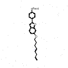 C=CC/C=C/CCCOc1ccc2cc(-c3ccc(CCCCC)cc3)oc2c1